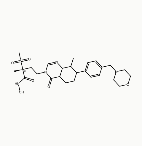 CC1C(c2ccc(CN3CCOCC3)cc2)CCC2C(=O)N(CC[C@](C)(C(=O)NO)S(C)(=O)=O)C=NC21